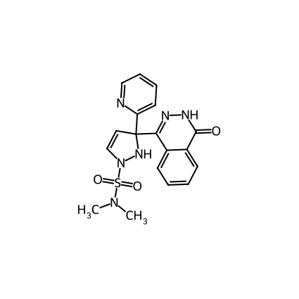 CN(C)S(=O)(=O)N1C=CC(c2ccccn2)(c2n[nH]c(=O)c3ccccc23)N1